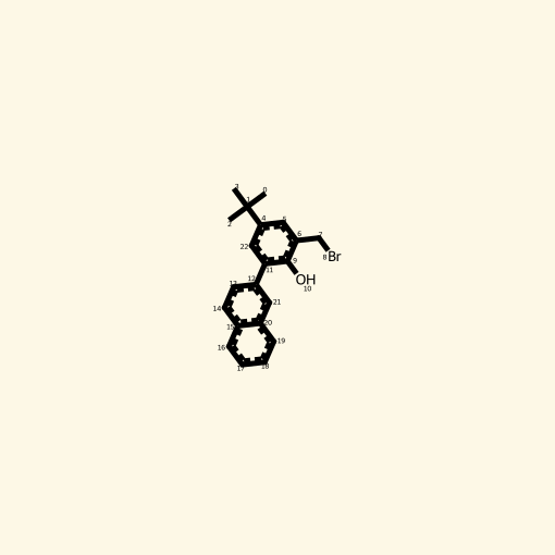 CC(C)(C)c1cc(CBr)c(O)c(-c2ccc3ccccc3c2)c1